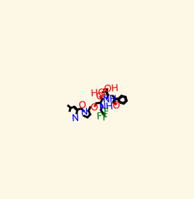 CC(C)C=C(C#N)C(=O)N1CCCC1COCC(NCC(F)(F)F)C(=O)N[C@@H](Cc1coc2ccccc12)B(O)O